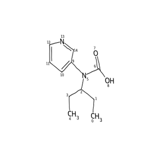 CCC(CC)N(C(=O)O)c1cccnc1